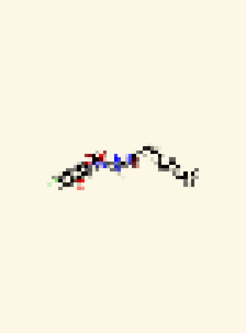 CC/C=C\C/C=C\C/C=C\C/C=C\C/C=C\C/C=C\CCC(=O)NCCN(C)CCNC(=O)C(C)(C)Oc1ccc(C(=O)c2ccc(Cl)cc2)cc1